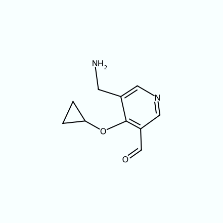 NCc1cncc(C=O)c1OC1CC1